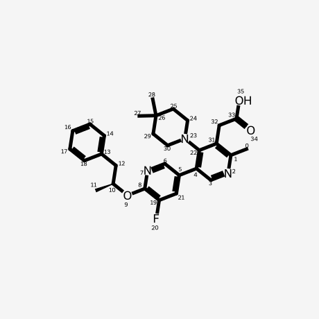 Cc1ncc(-c2cnc(O[C@@H](C)Cc3ccccc3)c(F)c2)c(N2CCC(C)(C)CC2)c1CC(=O)O